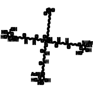 CC(=O)N[C@H]1[C@H](OCCCCC(=O)NCCCNC(=O)CCOCC(COCCC(=O)NCCCNC(=O)CCCCO[C@@H]2O[C@H](CO)[C@H](O)[C@H](O)[C@H]2NC(C)=O)(COCCC(=O)NCCCNC(=O)CCCCO[C@]2(NC(C)=O)C[C@@H](O)[C@@H](O)[C@@H](CO)O2)NC(=O)CCCCCCCCCCCN2C(=O)C=CC2=O)O[C@H](CO)[C@H](O)[C@@H]1O